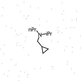 CCCN(CC1CC1)C(C)C